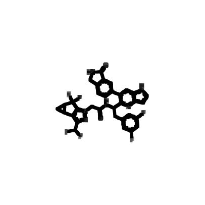 O=C(Cn1nc(C(F)F)c2c1C(F)(F)C1CC21)NC(Cc1cc(F)cc(F)c1)c1nc2cc[nH]c2cc1-c1ccc2c(c1)C(=O)NC2